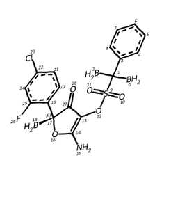 BC(B)(c1ccccc1)S(=O)(=O)OC1=C(N)O[C@](B)(c2ccc(Cl)cc2F)C1=O